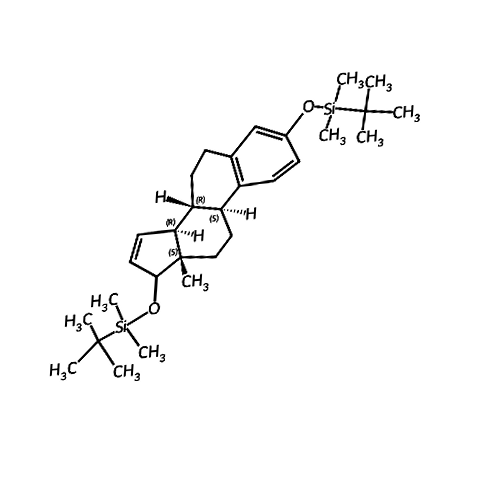 CC(C)(C)[Si](C)(C)Oc1ccc2c(c1)CC[C@@H]1[C@@H]2CC[C@]2(C)C(O[Si](C)(C)C(C)(C)C)C=C[C@@H]12